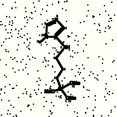 CO[Si](CCCNc1cncn1C)(OC)OC